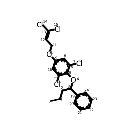 CCCC(Oc1c(Cl)cc(OCC=C(Cl)Cl)cc1Cl)c1ccccc1